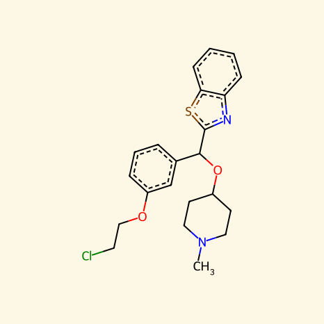 CN1CCC(OC(c2cccc(OCCCl)c2)c2nc3ccccc3s2)CC1